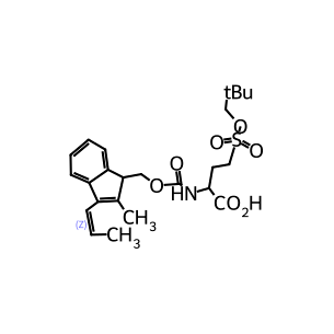 C/C=C\C1=C(C)C(COC(=O)NC(CCS(=O)(=O)OCC(C)(C)C)C(=O)O)c2ccccc21